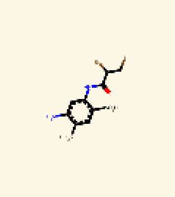 Nc1cc(NC(=O)C(Br)CBr)c(S(=O)(=O)O)cc1S(=O)(=O)O